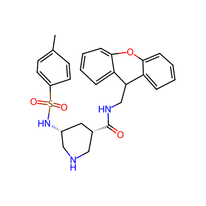 Cc1ccc(S(=O)(=O)N[C@H]2CNC[C@@H](C(=O)NCC3c4ccccc4Oc4ccccc43)C2)cc1